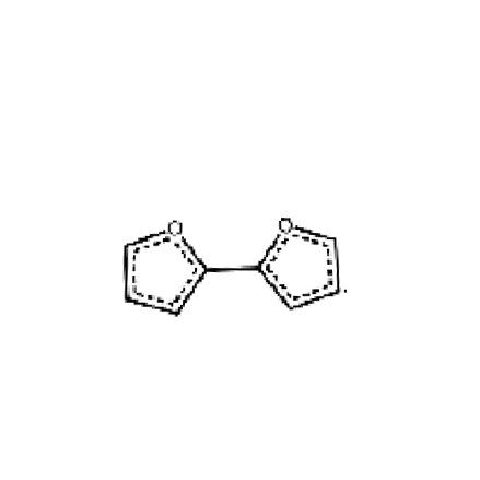 [c]1coc(-c2ccco2)c1